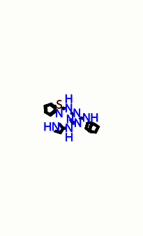 c1ccc2sc(Nc3nc(NC4CCNC4)nc(NC4CC5CCC4C5)n3)nc2c1